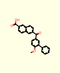 COc1ccc(C(=O)c2ccc3cc(C(=O)O)ccc3c2)cc1-c1ccccc1